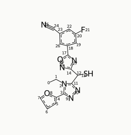 CCn1c(-c2ccco2)nnc1C(S)c1noc(-c2cc(F)cc(C#N)c2)n1